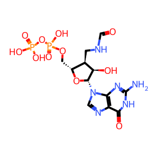 Nc1nc2c(ncn2[C@@H]2O[C@H](COP(=O)(O)OP(=O)(O)O)[C@@H](CNC=O)[C@H]2O)c(=O)[nH]1